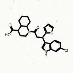 O=C(O)C1CCN(C(=O)CC(c2cccs2)c2c[nH]c3cc(Cl)ccc23)C2CCCCC12